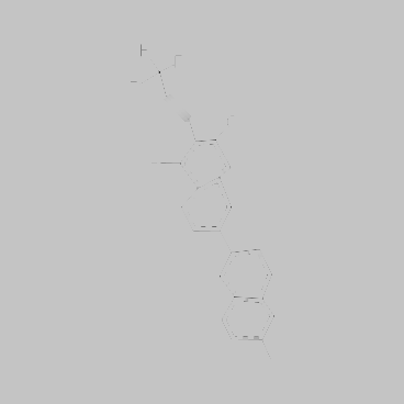 Cc1ccc2cc(-c3ccc4c(F)c(C#CC(F)(F)F)c(Cl)cc4c3)ccc2c1